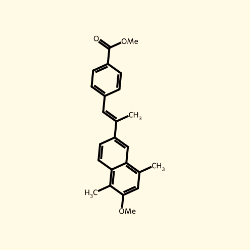 COC(=O)c1ccc(/C=C(\C)c2ccc3c(C)c(OC)cc(C)c3c2)cc1